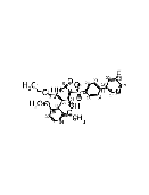 CCCCc1[nH]c(=O)c(S(=O)(=O)c2ccc(-c3cncc(F)c3)cc2)c(O)c1-c1c(OC)cccc1OC